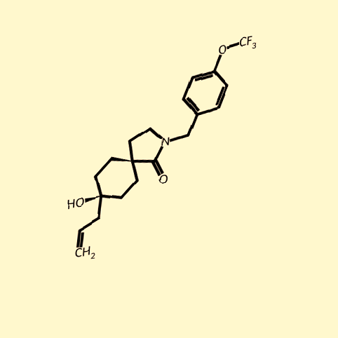 C=CC[C@]1(O)CC[C@]2(CCN(Cc3ccc(OC(F)(F)F)cc3)C2=O)CC1